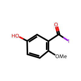 COc1ccc(O)cc1C(=O)I